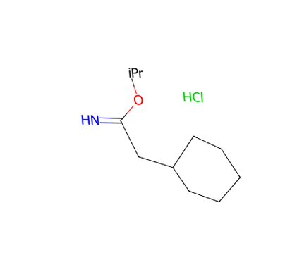 CC(C)OC(=N)CC1CCCCC1.Cl